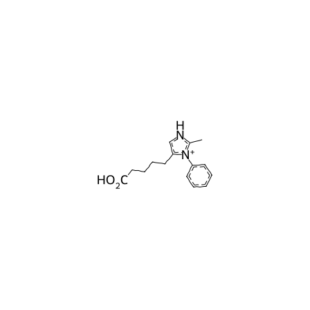 Cc1[nH]cc(CCCCC(=O)O)[n+]1-c1ccccc1